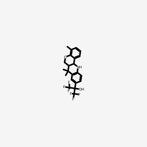 Cc1cccc2c1OCC1C2Nc2ccc(C(O)(C(F)(F)F)C(F)(F)F)cc2C1(C)C